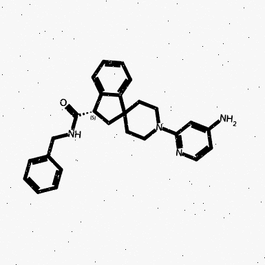 Nc1ccnc(N2CCC3(CC2)C[C@H](C(=O)NCc2ccccc2)c2ccccc23)c1